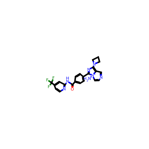 N[N+]12C=CN=CC1=C(N1CCC1)N=C2c1ccc(C(=O)Nc2cc(C(F)(F)F)ccn2)cc1